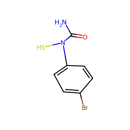 NC(=O)N(S)c1ccc(Br)cc1